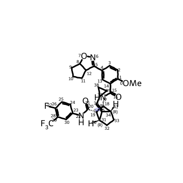 COc1ccc(C2=NOC3CCCC23)cc1C(=O)N[C@H]1[C@@H](C(=O)Nc2ccc(F)c(C(F)(F)F)c2)[C@H]2CC[C@@H]1/C2=C\C1CC1